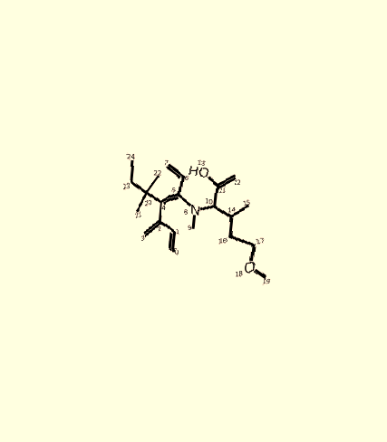 C=CC(=C)/C(=C(/C=C)N(C)C(C(=C)O)C(C)CCOC)C(C)(C)CC